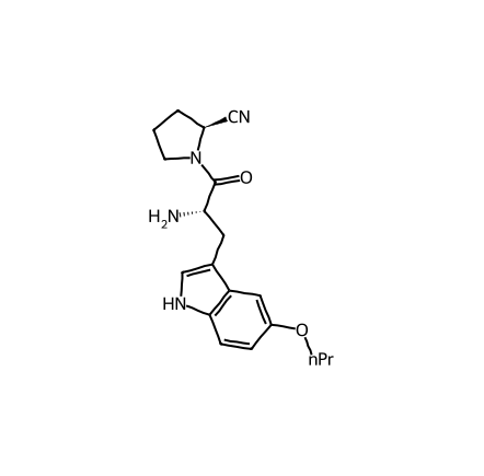 CCCOc1ccc2[nH]cc(C[C@H](N)C(=O)N3CCC[C@H]3C#N)c2c1